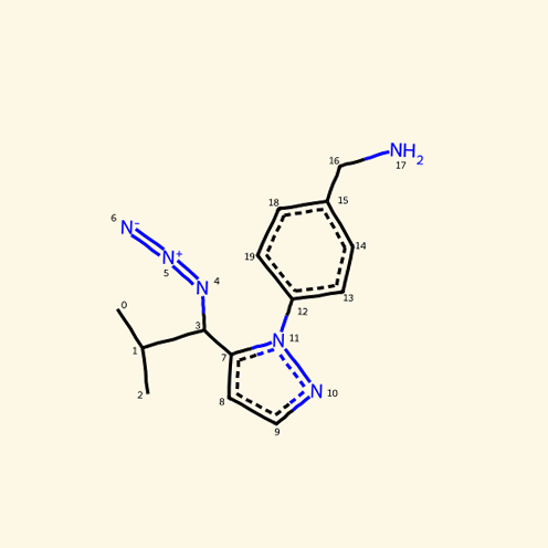 CC(C)C(N=[N+]=[N-])c1ccnn1-c1ccc(CN)cc1